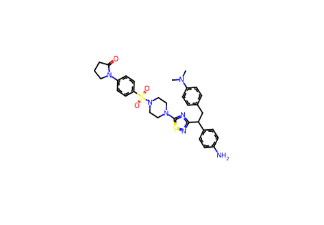 CN(C)c1ccc(CC(c2ccc(N)cc2)c2nsc(N3CCN(S(=O)(=O)c4ccc(N5CCCC5=O)cc4)CC3)n2)cc1